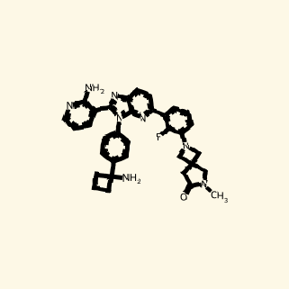 CN1CC2(CC1=O)CN(c1cccc(-c3ccc4nc(-c5cccnc5N)n(-c5ccc(C6(N)CCC6)cc5)c4n3)c1F)C2